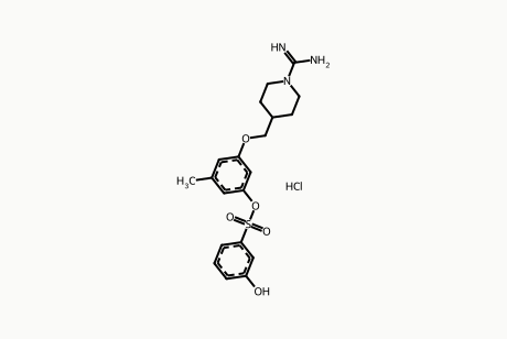 Cc1cc(OCC2CCN(C(=N)N)CC2)cc(OS(=O)(=O)c2cccc(O)c2)c1.Cl